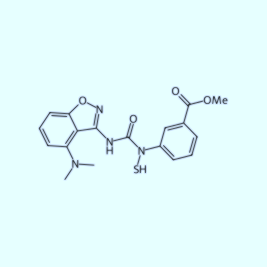 COC(=O)c1cccc(N(S)C(=O)Nc2noc3cccc(N(C)C)c23)c1